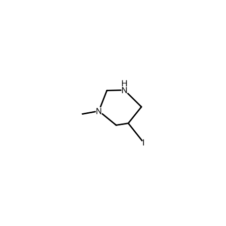 CN1CNCC(I)C1